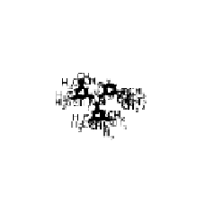 CC(C)(C)c1cc(-c2nc(-c3cc(C(C)(C)C)cc(C(C)(C)C)c3)nc(-c3cc(B4OC(C)(C)C(C)(C)O4)ccc3F)n2)cc(C(C)(C)C)c1